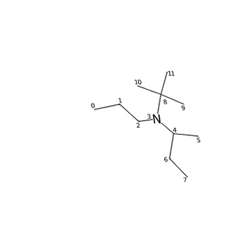 CCCN(C(C)CC)C(C)(C)C